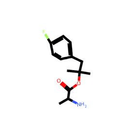 CC(N)C(=O)OC(C)(C)Cc1ccc(F)cc1